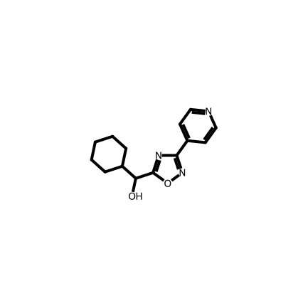 OC(c1nc(-c2ccncc2)no1)C1CCCCC1